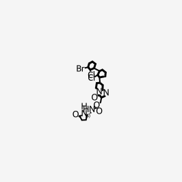 O=C1CC[C@@H](CNC(=O)OCc2cnc3cc(-c4cccc(-c5cccc(Br)c5Cl)c4Cl)ccn3c2=O)N1